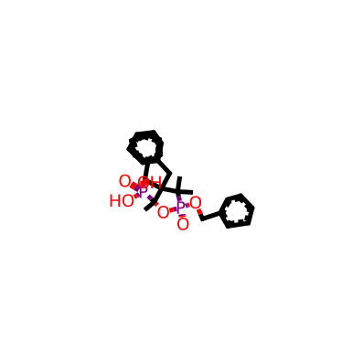 CC1(P(=O)(O)O)OP(=O)(OCc2ccccc2)C(C)(C)C1(Cc1ccccc1)Cc1ccccc1